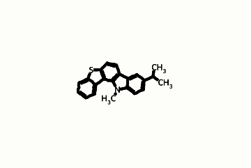 CC(C)c1ccc2c(c1)c1ccc3sc4ccccc4c3c1n2C